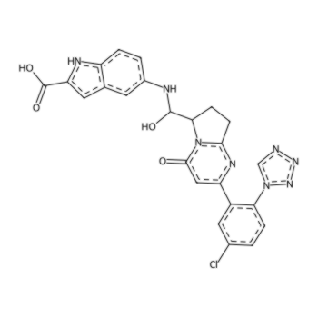 O=C(O)c1cc2cc(NC(O)C3CCc4nc(-c5cc(Cl)ccc5-n5cnnn5)cc(=O)n43)ccc2[nH]1